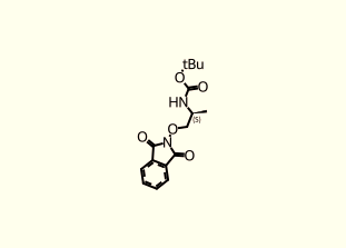 C[C@@H](CON1C(=O)c2ccccc2C1=O)NC(=O)OC(C)(C)C